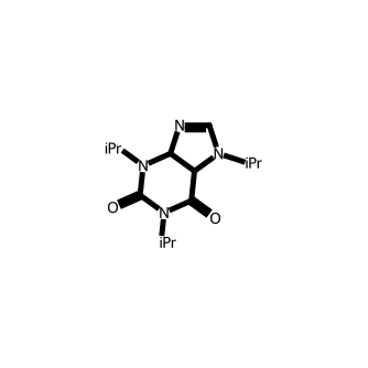 CC(C)N1C(=O)C2C(N=CN2C(C)C)N(C(C)C)C1=O